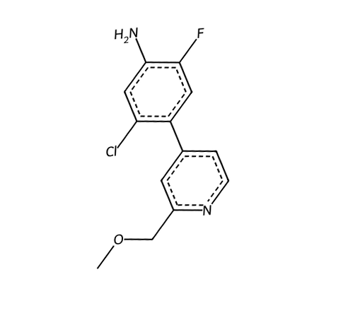 COCc1cc(-c2cc(F)c(N)cc2Cl)ccn1